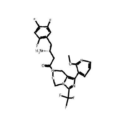 COc1ncccc1-c1nc(C(F)(F)F)n2c1CN(C(=O)C[C@H](N)Cc1cc(F)c(F)cc1F)CC2